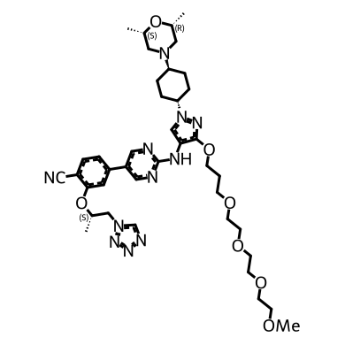 COCCOCCOCCOCCCOc1nn([C@H]2CC[C@H](N3C[C@@H](C)O[C@@H](C)C3)CC2)cc1Nc1ncc(-c2ccc(C#N)c(O[C@@H](C)Cn3cnnn3)c2)cn1